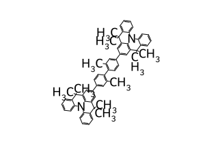 Cc1cc(-c2cc3c4c(c2)C(C)(C)c2ccccc2N4c2ccccc2C3(C)C)ccc1-c1ccc(-c2cc3c4c(c2)C(C)(C)c2ccccc2N4c2ccccc2C3(C)C)cc1C